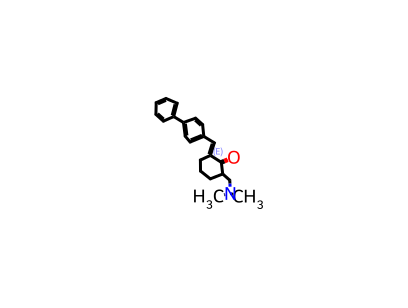 CN(C)CC1CCC/C(=C\c2ccc(-c3ccccc3)cc2)C1=O